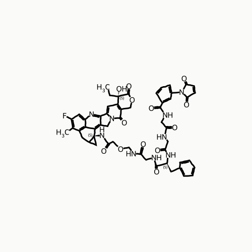 CC[C@@]1(O)C(=O)OCc2c1cc1n(c2=O)Cc2c-1nc1cc(F)c(C)c3c1c2[C@]1(NC(=O)COCNC(=O)CNC(=O)[C@H](Cc2ccccc2)NC(=O)CNC(=O)CNC(=O)c2cccc(N4C(=O)C=CC4=O)c2)CC1C3